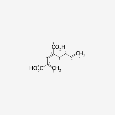 C=CCCC(=CC(=C)C(=O)O)C(=O)O